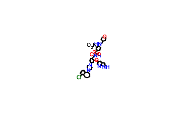 O=C(NS(=O)(=O)c1ccc(NCC2CCOCC2)c([N+](=O)[O-])c1)c1ccc(N2CCN([C@@H]3CCCCc4c(Cl)cccc43)CC2)cc1Oc1cnc2[nH]ccc2c1